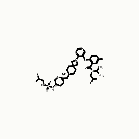 CC(C)N(CC(F)F)C(=O)c1cc(F)ccc1Oc1cncnc1N1CC2(CCN(C[C@@]3(O)CC[C@@H](NS(=O)(=O)NCC(F)F)CO3)CC2)C1